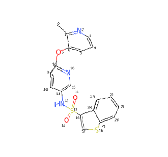 Cc1ncccc1Oc1ccc(NS(=O)(=O)c2csc3ccccc23)cn1